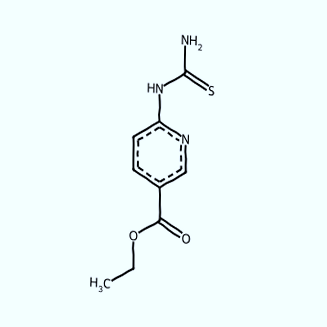 CCOC(=O)c1ccc(NC(N)=S)nc1